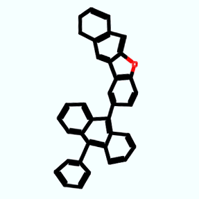 C1=Cc2cc3oc4ccc(-c5c6ccccc6c(-c6ccccc6)c6ccccc56)cc4c3cc2CC1